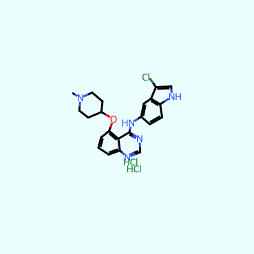 CN1CCC(Oc2cccc3ncnc(Nc4ccc5[nH]cc(Cl)c5c4)c23)CC1.Cl.Cl